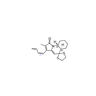 C=C/C=C\C1=C(C)C(=O)N2C1=CC1(SCCS1)[C@@H]1CCCC[C@H]12